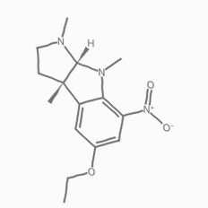 CCOc1cc([N+](=O)[O-])c2c(c1)[C@]1(C)CCN(C)[C@@H]1N2C